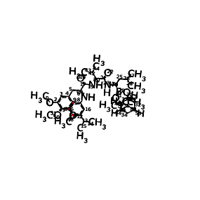 COc1cc(C[C@H](Nc2cccc(C(C)C)c2)C(=O)N[C@H](C(=O)N[C@@H](CC(C)C)B2O[C@@H]3C[C@@H]4C[C@@H](C4(C)C)[C@]3(C)O2)C(C)C)cc(OC)c1OC